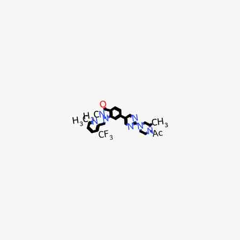 CC(=O)N1CCN(c2ncc(-c3ccc4c(=O)n(C)n(Cc5nc(C)ccc5C(F)(F)F)c4c3)cn2)CC1C